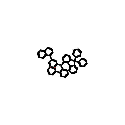 c1ccc(-c2ccccc2N(c2cccc(-c3cccc4ccccc34)c2)c2cccc3c2-c2ccccc2C3(c2ccccc2)c2ccccc2)cc1